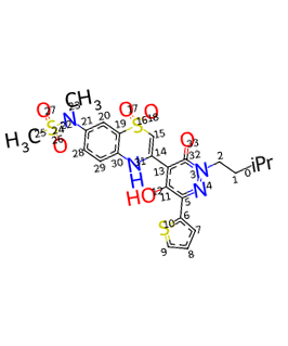 CC(C)CCn1nc(-c2cccs2)c(O)c(C2=CS(=O)(=O)c3cc(N(C)S(C)(=O)=O)ccc3N2)c1=O